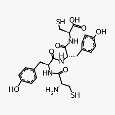 N[C@@H](CS)C(=O)N[C@@H](Cc1ccc(O)cc1)C(=O)N[C@@H](Cc1ccc(O)cc1)C(=O)N[C@@H](CS)C(=O)O